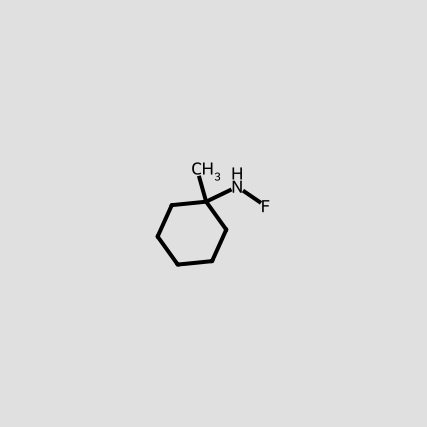 CC1(NF)CCCCC1